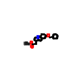 CC(C)(C)OC(=O)CC1CCn2c1cc1cc(OCc3ccccc3)ccc12